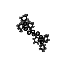 O=C(OOC(=O)c1cccc(Oc2ccccc2)c1Oc1ccccc1)c1cccc(Oc2ccccc2)c1Oc1ccccc1